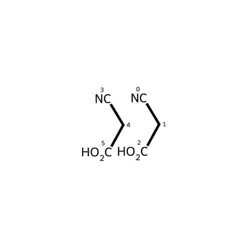 N#CCC(=O)O.N#CCC(=O)O